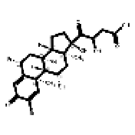 C[C@]12C=C(Br)C(=O)C=C1[C@H](F)C[C@H]1[C@@H]3CC[C@](O)(C(=O)C(O)CC(=O)O)[C@@]3(C)C[C@H](O)[C@@]12F